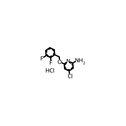 Cl.Nc1cc(Cl)cc(OCc2cccc(F)c2F)n1